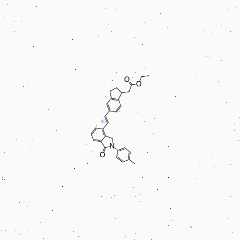 CCOC(=O)CC1CCc2cc(/C=C/c3cccc4c3CN(c3ccc(C)cc3)C4=O)ccc21